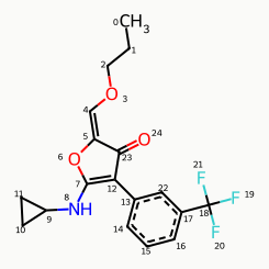 CCCOC=C1OC(NC2CC2)=C(c2cccc(C(F)(F)F)c2)C1=O